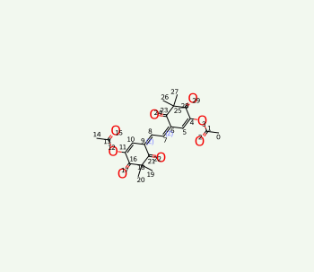 CC(=O)OC1=C/C(=C/C=C2/C=C(OC(C)=O)C(=O)C(C)(C)C2=O)C(=O)C(C)(C)C1=O